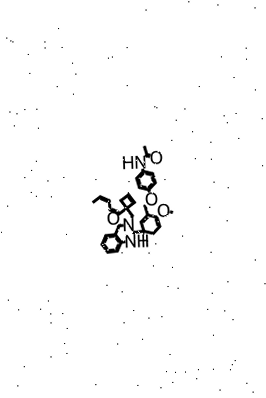 C/C=C\C=C/C1(CN2C(=O)c3ccccc3NC2[C@@]2(I)C=C(COc3ccc(NC(C)=O)cc3)C(OC)=CC2)C=CC1